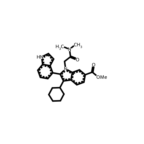 COC(=O)c1ccc2c(C3CCCCC3)c(-c3cccc4[nH]ccc34)n(CC(=O)N(C)C)c2c1